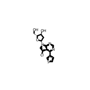 OC[C@H]1O[C@@H](n2cc(Cl)c3c(-c4ccsc4)ncnc32)C[C@@H]1O